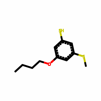 CCCCOc1cc(S)cc(SC)c1